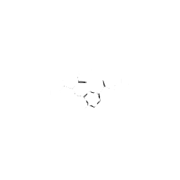 COC(=O)c1ccc(O)c(N[C@H](C(=O)OC)[C@@H](C)O)c1